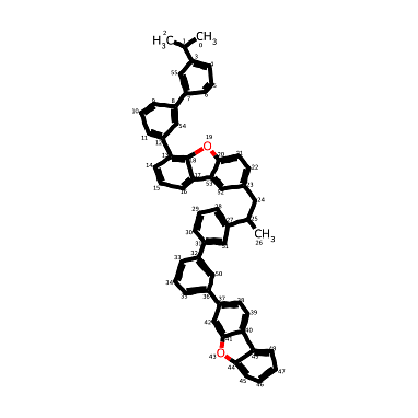 CC(C)c1cccc(-c2cccc(-c3cccc4c3oc3ccc(CC(C)c5cccc(-c6cccc(-c7ccc8c(c7)oc7ccccc78)c6)c5)cc34)c2)c1